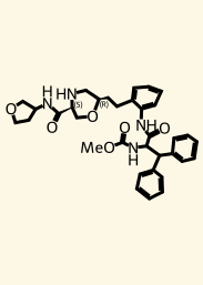 COC(=O)NC(C(=O)Nc1ccccc1CC[C@@H]1CN[C@H](C(=O)NC2CCOC2)CO1)C(c1ccccc1)c1ccccc1